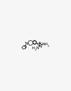 CN(C1CCc2ccc(-n3nc(N)nc3N)cc2CC1)C1CC2CCC1C2